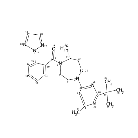 Cc1cc(N2CCN(C(=O)c3ccccc3-n3nccn3)[C@H](C)CO2)nc(C(C)(C)C)n1